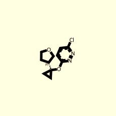 Clc1ccc(OC2([C@@H]3CCOC3)CC2)nn1